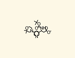 COC(=O)CC(NC(=O)OC(C)(C)C)c1cncc(N2CCOC(C)(C)C2)c1